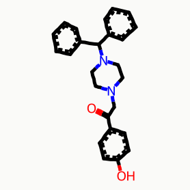 O=C(CN1CCN(C(c2ccccc2)c2ccccc2)CC1)c1ccc(O)cc1